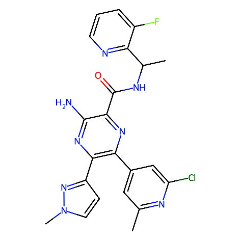 Cc1cc(-c2nc(C(=O)NC(C)c3ncccc3F)c(N)nc2-c2ccn(C)n2)cc(Cl)n1